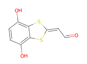 O=CC=C1Sc2c(O)ccc(O)c2S1